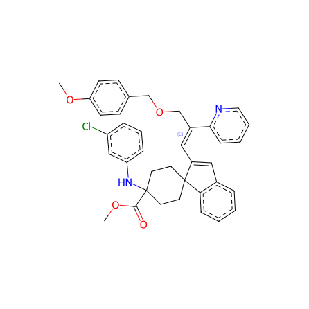 COC(=O)C1(Nc2cccc(Cl)c2)CCC2(CC1)C(/C=C(/COCc1ccc(OC)cc1)c1ccccn1)=Cc1ccccc12